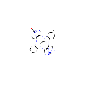 Cc1ncc(N2/C(=C3/N(c4cncnc4)c4cc(C)c(C)cc4N3c3cnc(C)nc3)N(c3cncnc3)c3cc(C)c(C)cc32)cn1